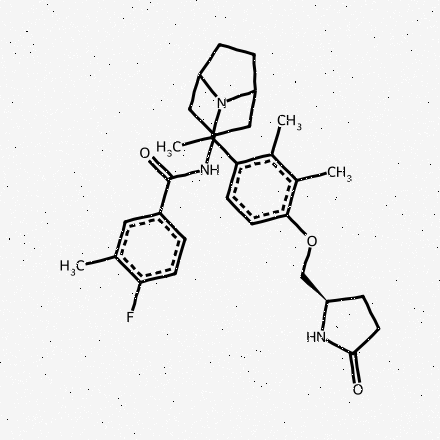 Cc1cc(C(=O)NC2CC3CCC(C2)N3C(C)c2ccc(OC[C@H]3CCC(=O)N3)c(C)c2C)ccc1F